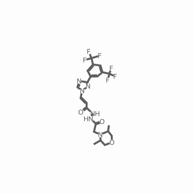 CC1COCC(C)N1CC(=O)NNC(=O)C=Cn1cnc(-c2cc(C(F)(F)F)cc(C(F)(F)F)c2)n1